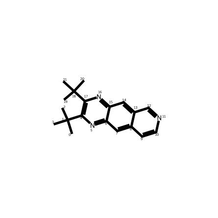 CC(C)(C)c1nc2cc3ccncc3cc2nc1C(C)(C)C